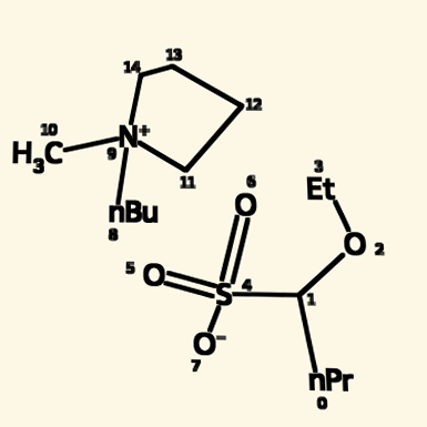 CCCC(OCC)S(=O)(=O)[O-].CCCC[N+]1(C)CCCC1